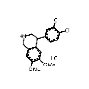 COc1cc2c(cc1OC)C(c1ccc(Cl)c(Cl)c1)CNC2.Cl